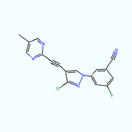 Cc1cnc(C#Cc2cn(-c3cc(F)cc(C#N)c3)nc2Cl)nc1